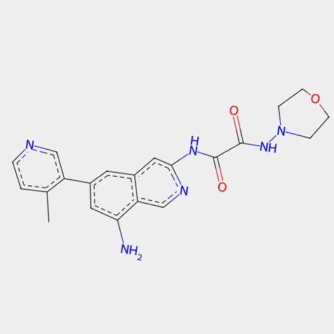 Cc1ccncc1-c1cc(N)c2cnc(NC(=O)C(=O)NN3CCOCC3)cc2c1